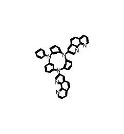 c1ccc(N2c3cccc(c3)N(c3cnc4c(ccc5cccnc54)c3)c3cccc(c3)N(c3cnc4c(ccc5cccnc54)c3)c3cccc2c3)cc1